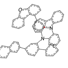 c1ccc(-c2ccc(-c3ccc4ccccc4c3)cc2N(c2ccc(-c3cccc4oc5ccccc5c34)cc2)c2ccccc2-n2c3ccccc3c3ccccc32)cc1